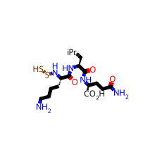 CC(C)C[C@H](NC(=O)[C@H](CCCCN)NSS)C(=O)N[C@@H](CCC(N)=O)C(=O)O